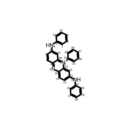 c1ccc(Nc2ccc3nc4ccc(Nc5ccccc5)cc4[n+](-c4ccccc4)c3c2)cc1